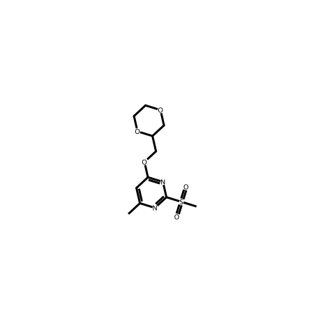 Cc1cc(OCC2COCCO2)nc(S(C)(=O)=O)n1